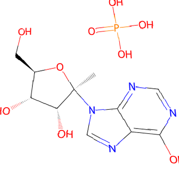 C[C@@]1(n2cnc3c(O)ncnc32)O[C@H](CO)[C@@H](O)[C@H]1O.O=P(O)(O)O